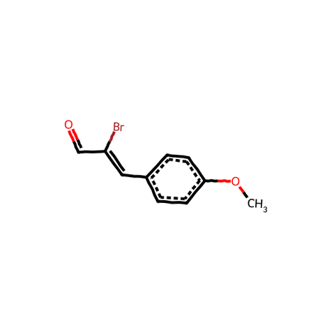 COc1ccc(/C=C(\Br)C=O)cc1